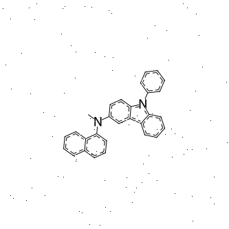 CN(c1ccc2c(c1)c1ccccc1n2-c1ccccc1)c1cccc2ccccc12